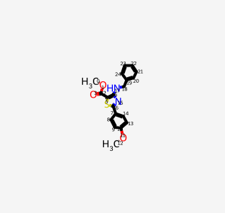 COC(=O)c1sc(-c2ccc(OC)cc2)nc1NCc1ccccc1